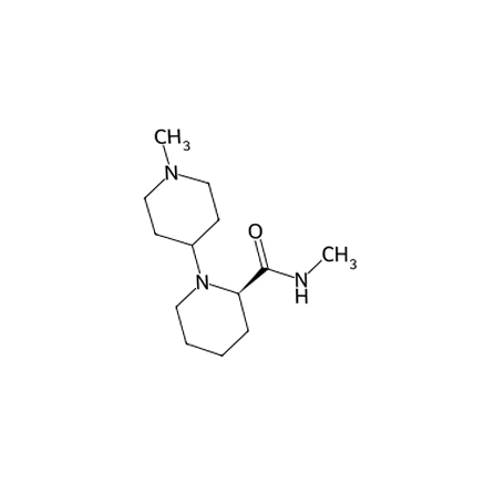 CNC(=O)[C@H]1CCCCN1C1CCN(C)CC1